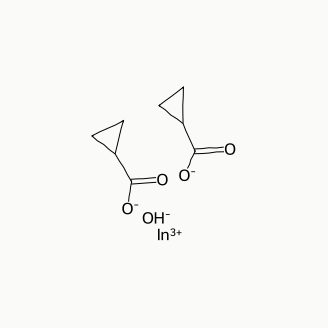 O=C([O-])C1CC1.O=C([O-])C1CC1.[In+3].[OH-]